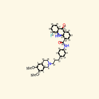 COc1cc2c(cc1OC)CN(CCCc1ccc(NC(=O)c3cccc4c(=O)c5cccc(F)c5[nH]c34)cc1)CC2